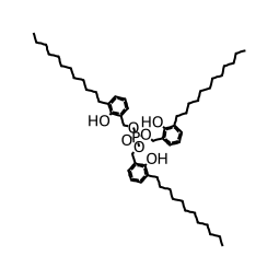 CCCCCCCCCCCCc1cccc(COP(=O)(OCc2cccc(CCCCCCCCCCCC)c2O)OCc2cccc(CCCCCCCCCCCC)c2O)c1O